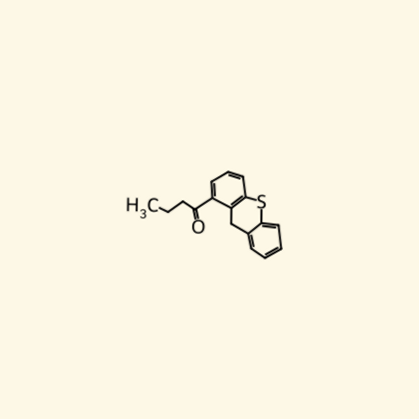 CCCC(=O)c1cccc2c1Cc1ccccc1S2